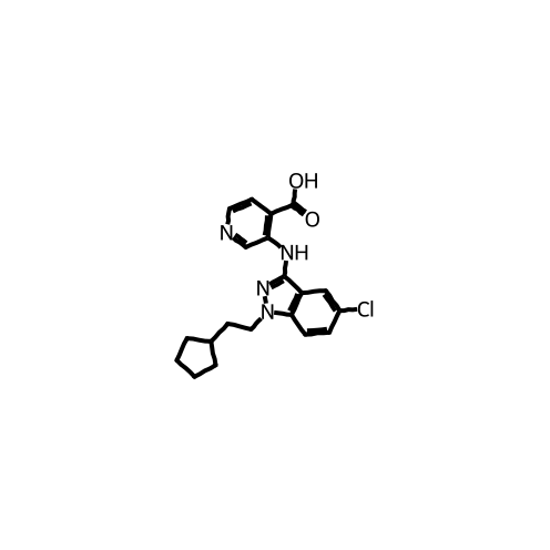 O=C(O)c1ccncc1Nc1nn(CCC2CCCC2)c2ccc(Cl)cc12